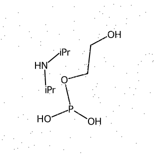 CC(C)NC(C)C.OCCOP(O)O